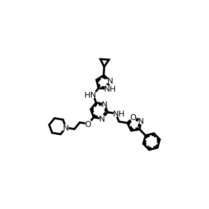 c1ccc(-c2cc(CNc3nc(Nc4cc(C5CC5)n[nH]4)cc(OCCN4CCCCC4)n3)on2)cc1